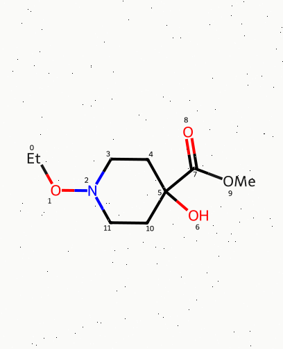 CCON1CCC(O)(C(=O)OC)CC1